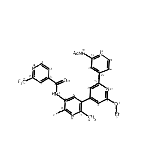 CCOc1cc(-c2cc(NC(=O)c3ccnc(C(F)(F)F)c3)c(F)nc2C)cc(-c2ccnc(NC(C)=O)c2)n1